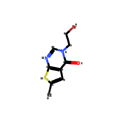 CCc1cc2c(=O)n(CCBr)cnc2s1